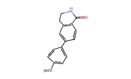 COc1ccc(-c2ccc3c(c2)CCNC3=O)cc1